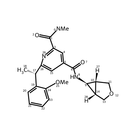 CNC(=O)c1cc(C(=O)N[C@H]2[C@@H]3COC[C@@H]32)cc([C@@H](C)c2ccccc2OC)n1